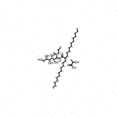 CC(O)C(=O)O.CCCCCCCCCCCCC(CCCCCCCCCCCC)C(=O)NC([C@H](O)[C@@H](O)[C@H](O)[C@H](O)CO)N(C)CCC